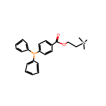 C[Si](C)(C)CCOC(=O)c1ccc(P(c2ccccc2)c2ccccc2)cc1